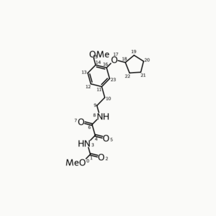 COC(=O)NC(=O)C(=O)NCCc1ccc(OC)c(OC2CCCC2)c1